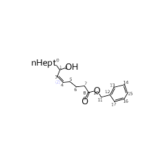 CCCCCCCC(O)/C=C\CCCC(=O)OCc1ccccc1